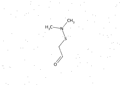 CN(C)SCC=O